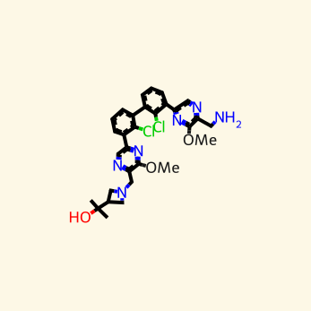 COc1nc(-c2cccc(-c3cccc(-c4cnc(CN5CC(C(C)(C)O)C5)c(OC)n4)c3Cl)c2Cl)cnc1CN